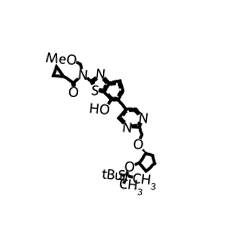 COCN(C(=O)C1CC1)c1nc2ccc(-c3cnc(CO[C@H]4CCCC4O[Si](C)(C)C(C)(C)C)nc3)c(O)c2s1